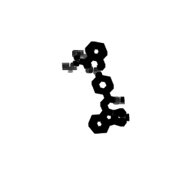 CN(C)C(=O)c1ccccc1COC1CCC(C(O)CC2c3ccccc3-c3cncn32)CC1